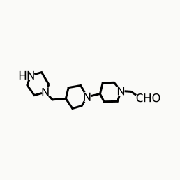 O=CCN1CCC(N2CCC(CN3CCNCC3)CC2)CC1